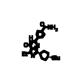 CCc1nc([C@H]2CC[C@@H](C(C)(C)C)CC2)n2nc(-c3ccc(C(N)=O)cc3)[nH]c(=O)c12